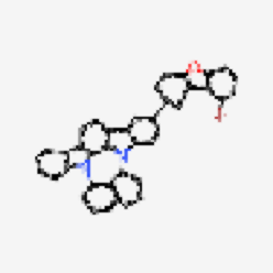 Brc1cccc2oc3ccc(-c4ccc5c(c4)c4ccc6c7ccccc7n(-c7ccccc7)c6c4n5-c4ccccc4)cc3c12